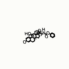 CC12C=CC(=O)C=C1CCC1C2[C@@H](O)CC2(C)C1CC[C@]2(O)C(=O)CNC(=O)Oc1ccccc1